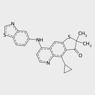 CC1(C)Sc2cc3c(Nc4ccc5scnc5c4)ccnc3c(C3CC3)c2C1=O